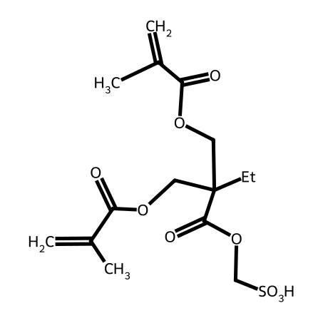 C=C(C)C(=O)OCC(CC)(COC(=O)C(=C)C)C(=O)OCS(=O)(=O)O